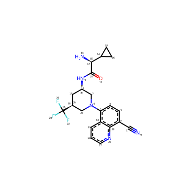 N#Cc1ccc(N2C[C@H](NC(=O)[C@@H](N)C3CC3)C[C@H](C(F)(F)F)C2)c2cccnc12